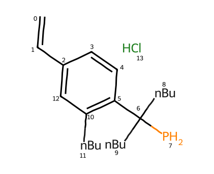 C=Cc1ccc(C(P)(CCCC)CCCC)c(CCCC)c1.Cl